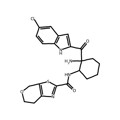 NC1(C(=O)c2cc3cc(Cl)ccc3[nH]2)CCCCC1NC(=O)c1nc2c(s1)COCC2